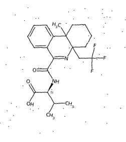 CC(C)[C@H](NC(=O)C1=NC2(CC(F)(F)F)CCCCC2(C)c2ccccc21)C(=O)O